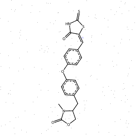 CN1C(=O)OCC1Cc1ccc(Oc2ccc(/C=C3/SC(=S)NC3=O)cc2)cc1